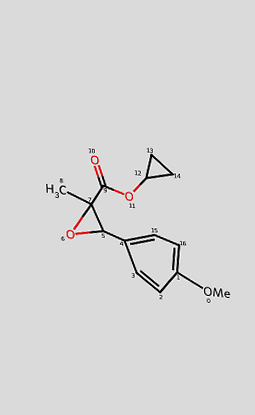 COc1ccc(C2OC2(C)C(=O)OC2CC2)cc1